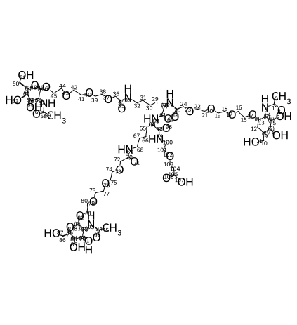 CC(=O)N[C@@H]1[C@@H](O)[C@@H](O)[C@@H](CO)C[C@H]1OCCOCCOCCOCC(=O)N[C@@H](CCCCNC(=O)COCCOCCOCCO[C@@H]1O[C@H](CO)[C@H](O)[C@H](O)[C@H]1NC(C)=O)C(=O)N[C@@H](CCCCNC(=O)COCCOCCOCCO[C@@H]1O[C@H](CO)[C@H](O)[C@H](O)[C@H]1NC(C)=O)C(=O)NCCOCCC(=O)O